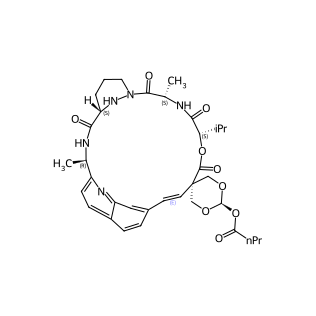 CCCC(=O)O[C@H]1OC[C@@]2(/C=C/c3ccc4ccc(nc4c3)[C@@H](C)NC(=O)[C@@H]3CCCN(N3)C(=O)[C@H](C)NC(=O)[C@H](C(C)C)OC2=O)CO1